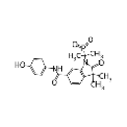 CC1(C)C(=O)N(C(C)(C)P(=O)=O)c2cc(C(=O)Nc3ccc(O)cc3)ccc21